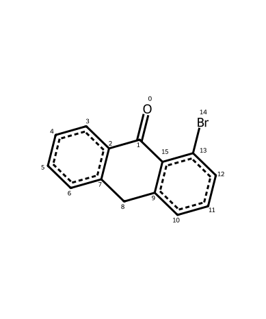 O=C1c2ccccc2Cc2cccc(Br)c21